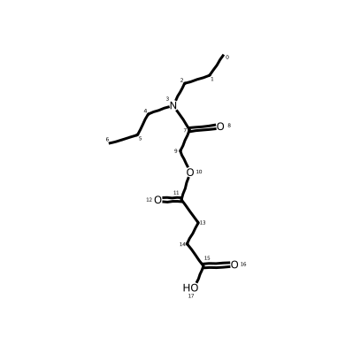 CCCN(CCC)C(=O)COC(=O)CCC(=O)O